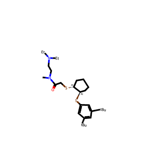 CCN(CC)CCN(C)C(=O)CS[C@@H]1CCCC[C@H]1Sc1cc(C(C)(C)C)cc(C(C)(C)C)c1